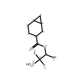 CC(C)C(OC(=O)C1CCC2CC2C1)C(F)(F)C(=O)O